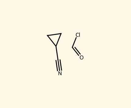 N#CC1CC1.O=CCl